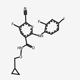 N#Cc1nc(Nc2ccc(I)cc2F)c(C(=O)NOCC2CC2)cc1F